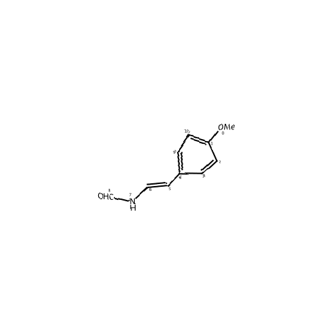 COc1ccc(C=CNC=O)cc1